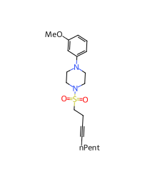 CCCCCC#CCCS(=O)(=O)N1CCN(c2cccc(OC)c2)CC1